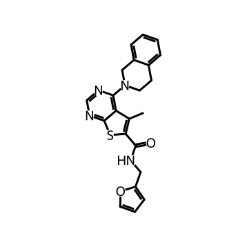 Cc1c(C(=O)NCc2ccco2)sc2ncnc(N3CCc4ccccc4C3)c12